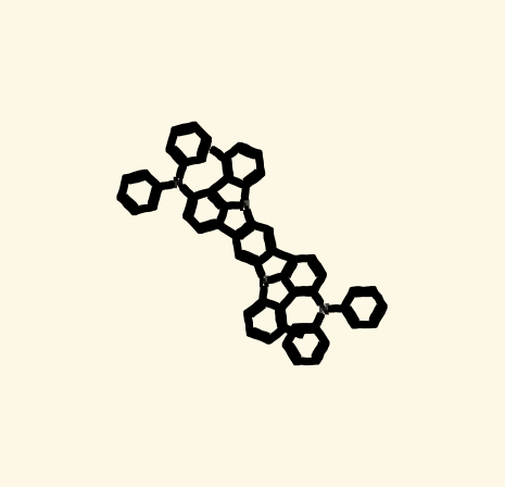 Cc1cccc2c1c1c(N(c3ccccc3)c3ccccc3)ccc3c4cc5c(cc4n2c31)c1ccc(N(c2ccccc2)c2ccccc2)c2c3c(C)cccc3n5c12